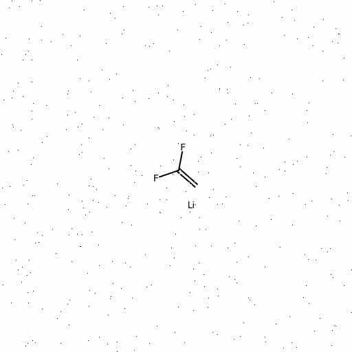 C=C(F)F.[Li]